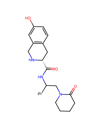 CC(C)C(CN1CCCCC1=O)NC(=O)[C@H]1Cc2ccc(O)cc2CN1